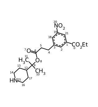 CCOC(=O)c1cc(CCC(=O)OC(C)(C)C2CCNCC2)cc([N+](=O)[O-])c1